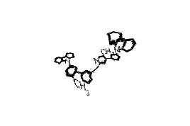 Cc1ccc(-n2c3ccccc3c3ccccc32)cc1-c1cccc(-c2cc(-c3cccc(-n4c5ccccc5c5ccccc54)c3)c(C)cn2)c1